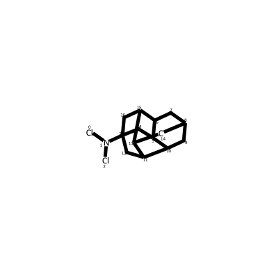 ClN(Cl)C12CC3C4CC5CC3C(C1)C(C5)C4C2